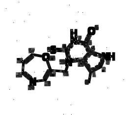 Cc1c[nH]c2c(=O)[nH]c(=S)n(CC3=CN=CC=CO3)c12